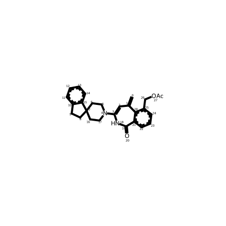 C=C1C=C(N2CCC3(CCc4ccccc43)CC2)NC(=O)c2cccc(COC(C)=O)c21